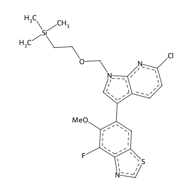 COc1c(-c2cn(COCC[Si](C)(C)C)c3nc(Cl)ccc23)cc2scnc2c1F